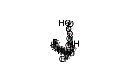 O=C(O)CCOCCOCCOCCNC(=O)c1cccc(C(=O)Nc2ccc(Cl)cc2C(=O)Nc2ccn(C3C=CC=C(C(F)(F)F)C3)n2)c1